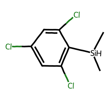 C[SiH](C)c1c(Cl)cc(Cl)cc1Cl